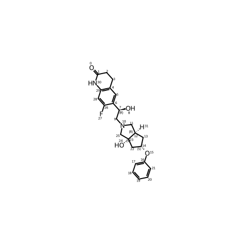 O=C1CCc2cc([C@@H](O)CN3C[C@H]4C[C@H](Oc5ccccc5)C[C@@]4(O)C3)c(F)cc2N1